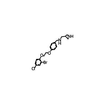 Clc1ccc(OCCOc2ccc(CNCC3CNC3)cc2)c(Br)c1